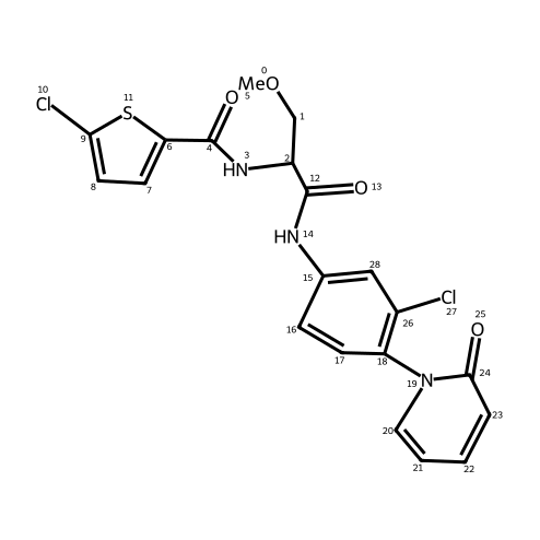 COCC(NC(=O)c1ccc(Cl)s1)C(=O)Nc1ccc(-n2ccccc2=O)c(Cl)c1